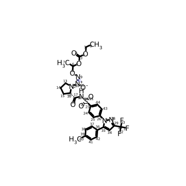 CCOC(=O)OC(C)O/N=[N+](/[O-])N1CCC[C@H]1C(=O)NS(=O)(=O)c1ccc(-n2nc(C(F)(F)F)cc2-c2ccc(C)cc2)cc1